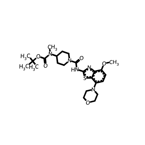 COc1ccc(N2CCOCC2)c2sc(NC(=O)N3CCC(N(C)C(=O)OC(C)(C)C)CC3)nc12